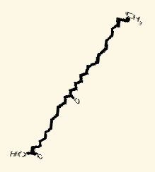 CCCCCCCCCCCCCCCCCC(=O)CCCCCCCCCCCC(=O)O